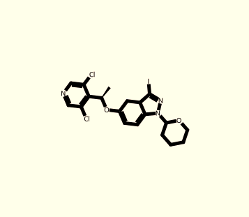 C[C@@H](OC1=CC=C2C(C1)C(I)=NN2C1CCCCO1)c1c(Cl)cncc1Cl